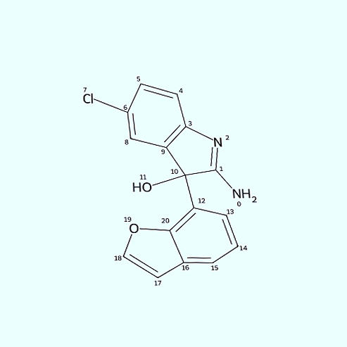 NC1=Nc2ccc(Cl)cc2C1(O)c1cccc2ccoc12